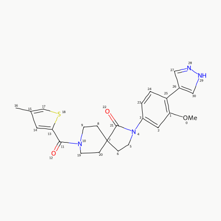 COc1cc(N2CCC3(CCN(C(=O)c4cc(C)cs4)CC3)C2=O)ccc1-c1cn[nH]c1